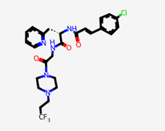 O=C(/C=C/c1ccc(Cl)cc1)N[C@@H](Cc1ccccn1)C(=O)NCC(=O)N1CCN(CCC(F)(F)F)CC1